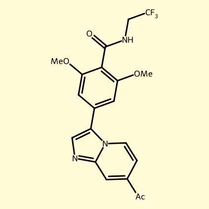 COc1cc(-c2cnc3cc(C(C)=O)ccn23)cc(OC)c1C(=O)NCC(F)(F)F